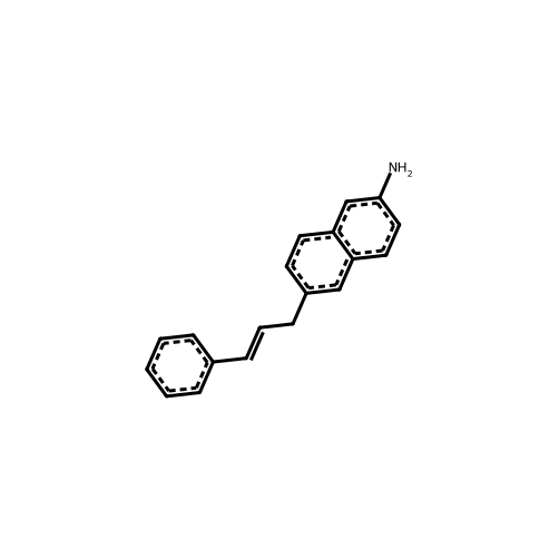 Nc1ccc2cc(C/C=C/c3ccccc3)ccc2c1